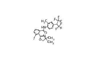 Cc1cc(C(C(F)(F)F)C(F)(F)F)ccc1NC(=O)c1cccc(I)c1C1=NC(C)(C)CO1